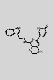 O=c1ccc(-c2nc3c(c(NCCc4c[nH]c5ccccc45)n2)OCCN3)c[nH]1